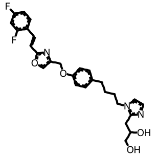 OCC(O)Cc1nccn1CCCCc1ccc(OCc2coc(C=Cc3ccc(F)cc3F)n2)cc1